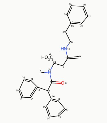 C=C(C[C@@H](C(=O)O)N(C)C(=O)C(c1ccccc1)c1ccccc1)NCCc1ccccc1